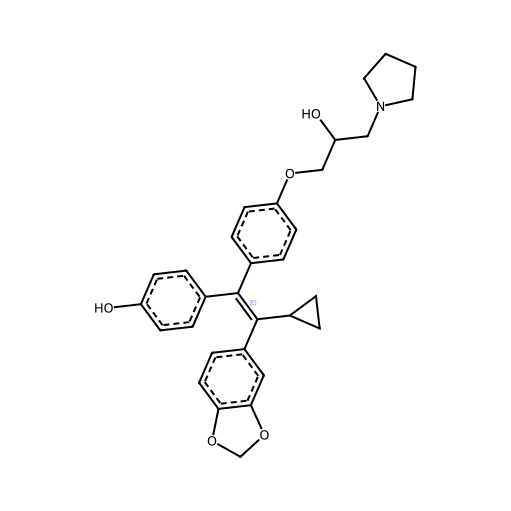 Oc1ccc(/C(=C(\c2ccc3c(c2)OCO3)C2CC2)c2ccc(OCC(O)CN3CCCC3)cc2)cc1